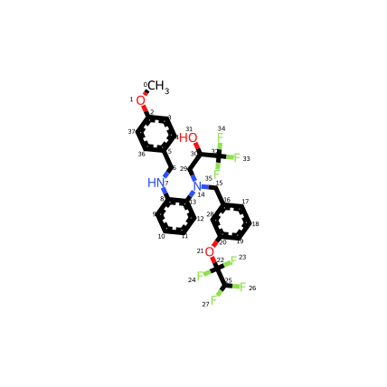 COc1ccc(CNc2ccccc2N(Cc2cccc(OC(F)(F)C(F)F)c2)CC(O)C(F)(F)F)cc1